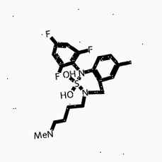 CNCCCCN1Cc2cc(C)ccc2N(c2c(F)cc(F)cc2F)S1(O)O